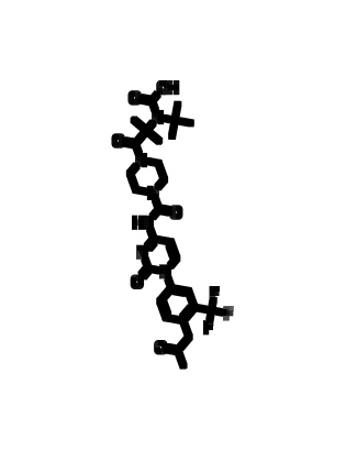 CC(=O)Cc1ccc(-n2ccc(NC(=O)N3CCN(C(=O)C(C)(C)N(C(=O)O)C(C)(C)C)CC3)nc2=O)cc1C(F)(F)F